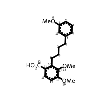 COc1cccc(CCCCc2c(C(=O)O)ccc(OC)c2OC)c1